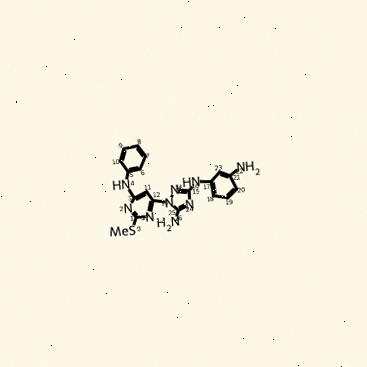 CSc1nc(Nc2ccccc2)cc(-n2nc(Nc3cccc(N)c3)nc2N)n1